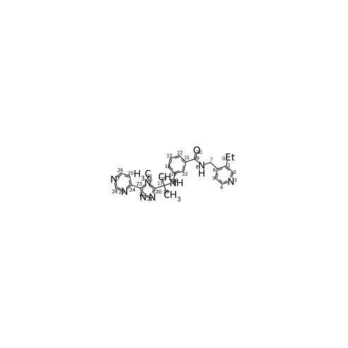 CCc1cnccc1CNC(=O)c1cccc(NC(C)(C)c2nnc(-c3ccncn3)n2C)c1